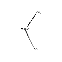 CCCCCCCCCCCCCCCCCCC(CO)(CO)CCCCCCCCCCCCCCCCCC